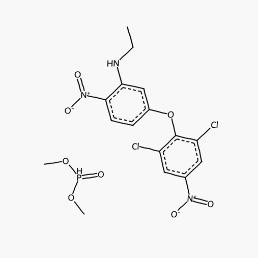 CCNc1cc(Oc2c(Cl)cc([N+](=O)[O-])cc2Cl)ccc1[N+](=O)[O-].CO[PH](=O)OC